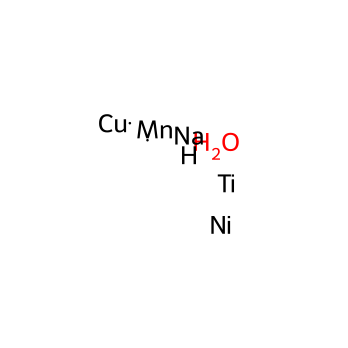 O.[Cu].[Mn].[NaH].[Ni].[Ti]